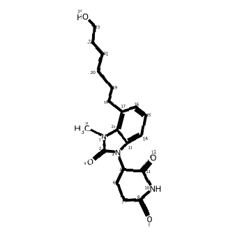 Cn1c(=O)n(C2CCC(=O)NC2=O)c2cccc(CCCCCCO)c21